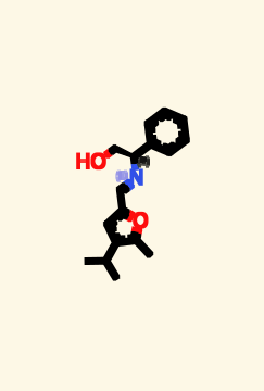 Cc1oc(/C=N/[C@@H](CO)c2ccccc2)cc1C(C)C